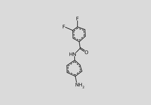 Nc1ccc(NC(=O)c2ccc(F)c(F)c2)cc1